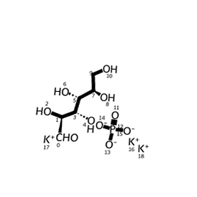 O=C[C@@H](O)[C@@H](O)[C@H](O)[C@H](O)CO.O=P([O-])([O-])[O-].[K+].[K+].[K+]